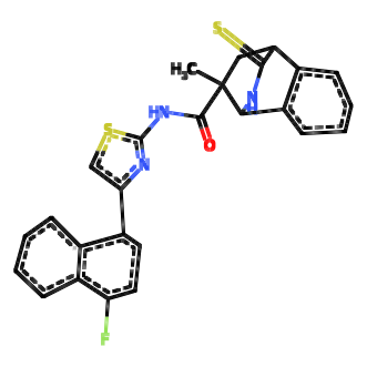 CC1(C(=O)Nc2nc(-c3ccc(F)c4ccccc34)cs2)CC2C(=S)NC1c1ccccc12